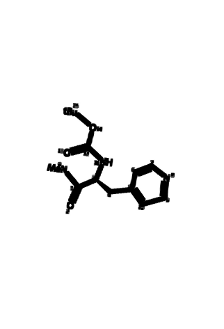 CNC(=O)[C@H](Cc1ccncc1)NC(=O)OC(C)(C)C